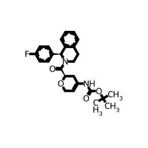 CC(C)(C)OC(=O)NC1=CCO[C@@H](C(=O)N2CCc3ccccc3[C@@H]2c2ccc(F)cc2)C1